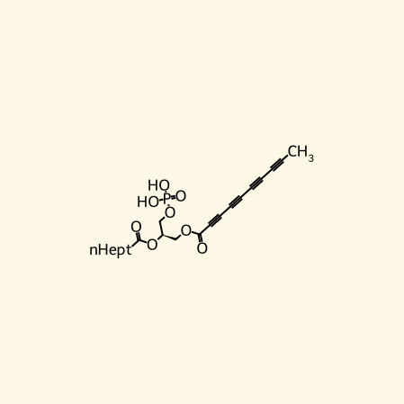 CC#CC#CC#CC#CC(=O)OC[C@H](COP(=O)(O)O)OC(=O)CCCCCCC